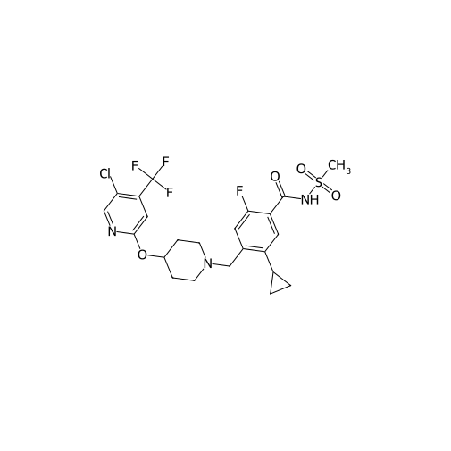 CS(=O)(=O)NC(=O)c1cc(C2CC2)c(CN2CCC(Oc3cc(C(F)(F)F)c(Cl)cn3)CC2)cc1F